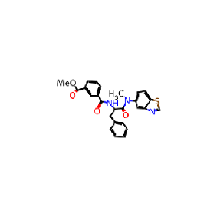 COC(=O)c1cccc(C(=O)NC(Cc2ccccc2)C(=O)N(C)c2ccc3scnc3c2)c1